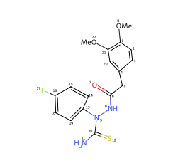 COc1ccc(CC(=O)NN(C(N)=S)c2ccc(F)cc2)cc1OC